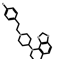 Fc1ccc(CCN2CCC(N3CCCc4ccc5c(c43)OCO5)CC2)cc1